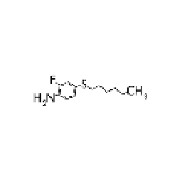 CCCCCCSc1ccc(N)c(F)c1